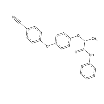 CC(Oc1ccc(Oc2ccc(C#N)cc2)cc1)C(=O)Nc1ccccc1